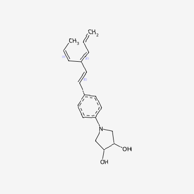 C=C/C=C(\C=C/C)/C=C/c1ccc(N2CC(O)C(O)C2)cc1